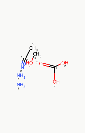 CC#N.CO.N.N.O=C(O)O